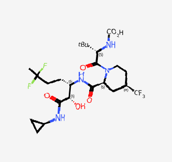 CC(F)(F)CC[C@H](NC(=O)[C@@H]1C[C@H](C(F)(F)F)CCN1C(=O)[C@@H](NC(=O)O)C(C)(C)C)[C@H](O)C(=O)NC1CC1